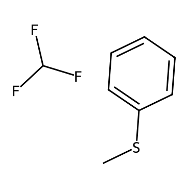 CSc1ccccc1.FC(F)F